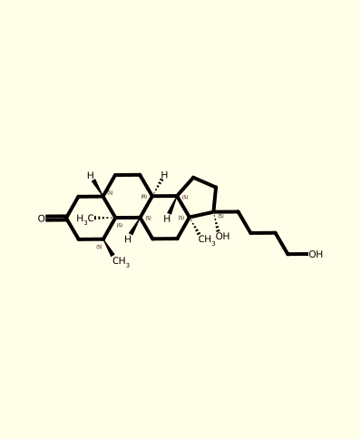 C[C@H]1CC(=O)C[C@@H]2CC[C@@H]3[C@H](CC[C@@]4(C)[C@H]3CC[C@@]4(O)CCCCO)[C@]21C